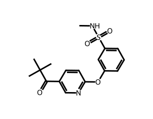 CNS(=O)(=O)c1cccc(Oc2ccc(C(=O)C(C)(C)C)cn2)c1